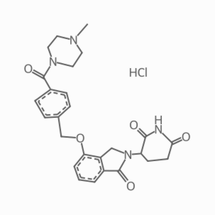 CN1CCN(C(=O)c2ccc(COc3cccc4c3CN(C3CCC(=O)NC3=O)C4=O)cc2)CC1.Cl